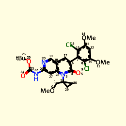 COCC1(n2c(=O)c(-c3c(Cl)c(OC)cc(OC)c3Cl)cc3cnc(NC(=O)OC(C)(C)C)cc32)CC1